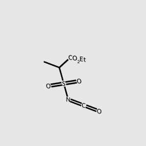 CCOC(=O)C(C)S(=O)(=O)N=C=O